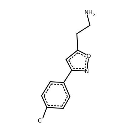 NCCc1cc(-c2ccc(Cl)cc2)no1